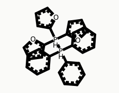 c1ccc([PH](c2ccccc2)(c2ccccc2)[PH](c2ccco2)(c2ccco2)c2ccco2)cc1